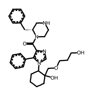 O=C(c1ncn(C2CCCCC2(O)COCCCO)c1-c1ccccc1)N1CCNC[C@H]1Cc1ccccc1